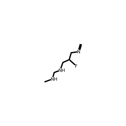 C=NCC(F)CNCNC